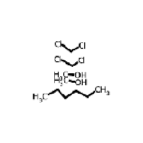 CCCCCC.CO.CO.ClCCl.ClCCl